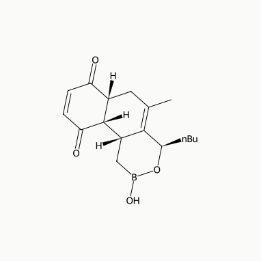 CCCC[C@H]1OB(O)C[C@H]2C1=C(C)C[C@H]1C(=O)C=CC(=O)[C@H]12